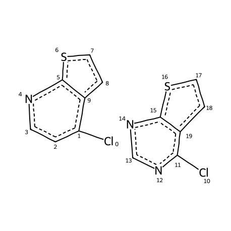 Clc1ccnc2sccc12.Clc1ncnc2sccc12